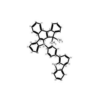 CC1(C)c2ccccc2-c2c1c1c(c3ccccc23)c2ccccc2n1-c1ccc(-c2cccc3c2oc2ccccc23)cc1